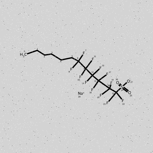 CCCCCCC(F)(F)C(F)(F)C(F)(F)C(F)(F)C(F)(F)C(F)(F)S(=O)(=O)[O-].[Na+]